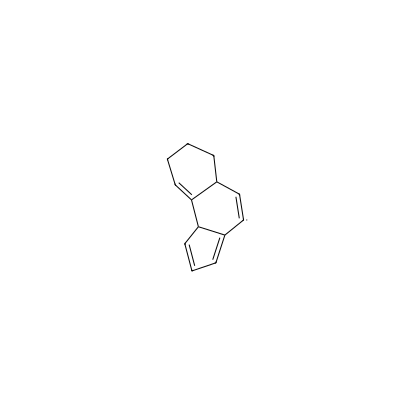 [C]1=CC2CCCC=C2C2C=CC=C12